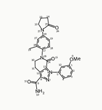 COc1cccc(-n2nc(C(N)=O)c3c2C(=O)N(c2ccc(N4CCCC4=O)cc2C)CC3)c1